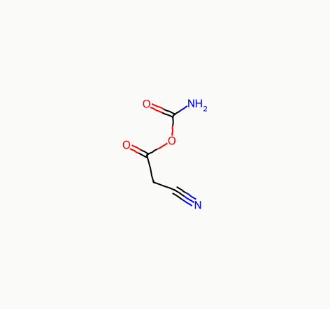 N#CCC(=O)OC(N)=O